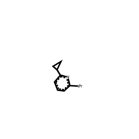 CC(C)c1cccc(C2CC2)n1